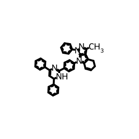 Cc1nn(-c2ccccc2)c2c1c1c(n2-c2ccc(C3=NC(c4ccccc4)=CC(c4ccccc4)N3)cc2)C=CCC1